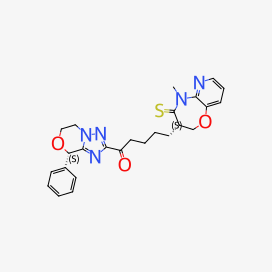 CN1C(=S)[C@@H](CCCCC(=O)c2nc3n(n2)CCO[C@H]3c2ccccc2)COc2cccnc21